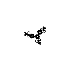 C=C(C)C(=O)Oc1ccc(-c2cc(OC(=O)C(C)(C)C)cc(-c3ccc(OC(=O)C(=C)C)cc3)c2)cc1